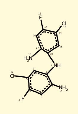 Nc1cc(F)c(Cl)cc1Nc1cc(Cl)c(F)cc1N